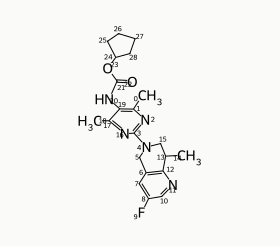 Cc1nc(N2Cc3cc(F)cnc3C(C)C2)nc(C)c1NC(=O)OC1CCCC1